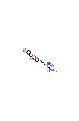 NC(=O)/C(N)=C/N(N)CCCCc1ccc(NC(=O)Cc2cccc(OC(F)(F)F)c2)nn1